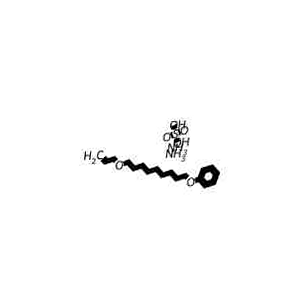 C=CCOCCCCCCCCCOc1ccccc1.N.N.O=S(=O)(O)O